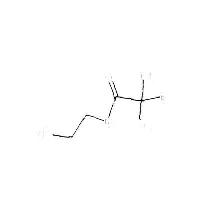 BC(B)(Br)C(=O)NCCO